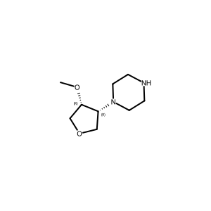 CO[C@H]1COC[C@H]1N1CCNCC1